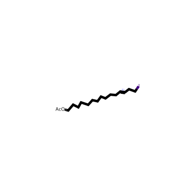 CC(=O)OCCCCCCCCCCC/C=C/CCI